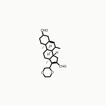 CC1C=C2CC(C=O)CC[C@]2(C)[C@@H]2CC[C@]3(C)C(C4COCCO4)=C(C=O)C[C@H]3[C@H]12